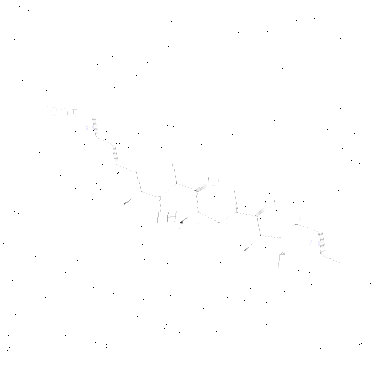 C/C=C/[C@@H](C)[C@H](F)[C@@H](C)C(=O)C(C)C[C@@H](C)C(=O)C(C)C(P)[C@@H](C)C/C=C/C=C/[C@@H](C)CCC